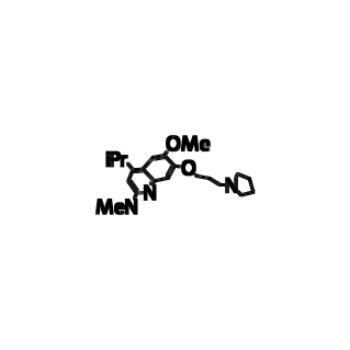 CNc1cc(C(C)C)c2cc(OC)c(OCCCN3CCCC3)cc2n1